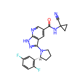 N#CC1(NC(=O)c2cnc3[nH]nc(N4CCC[C@@H]4c4cc(F)ccc4F)c3c2)CC1